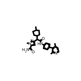 Cc1ccnc(C)c1-c1ccc(NC(=O)C(c2cc(C(N)=O)n(C)n2)C2CCC(C)CC2)cc1